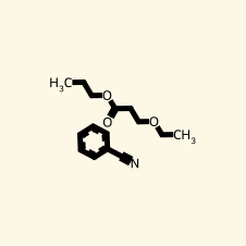 CCCOC(=O)CCOCC.N#Cc1ccccc1